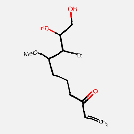 C=CC(=O)CCCC(OC)C(CC)C(O)CO